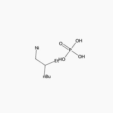 CCCCC(CC)[CH2][Ni].O=P(O)(O)O